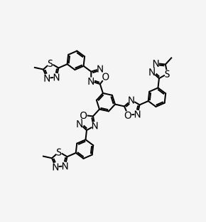 Cc1nnc(-c2cccc(-c3noc(-c4cc(-c5nc(-c6cccc(-c7nnc(C)s7)c6)no5)cc(-c5nc(-c6cccc(-c7nnc(C)s7)c6)no5)c4)n3)c2)s1